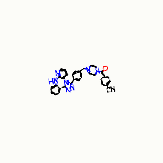 N#Cc1ccc(C(=O)N2CCN(Cc3ccc(-c4nnc5n4-c4cccnc4Nc4ccccc4-5)cc3)CC2)cc1